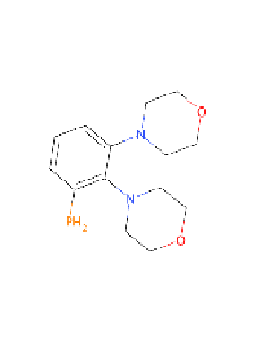 Pc1cccc(N2CCOCC2)c1N1CCOCC1